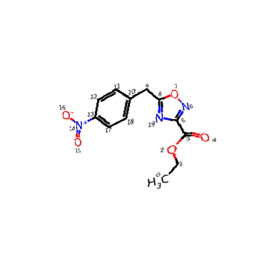 CCOC(=O)c1noc(Cc2ccc([N+](=O)[O-])cc2)n1